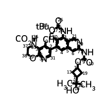 Cc1c(-c2cc3cc(NC(=O)OC4CC(C(C)(C)O)C4)ncc3c(NC(=O)OC(C)(C)C)c2F)cnc2c1N(C(=O)O)CCO2